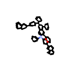 c1ccc(-c2cc3c(-c4ccccc4)cc(C(c4ccccc4)c4ccc(-c5ccc6ccccc6c5)cc4)cc3cc2N(c2ccccc2)c2ccc(-c3ccc4ccccc4c3)cc2)cc1